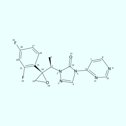 C[C@@H](n1ncn(-c2ccncn2)c1=O)[C@@]1(c2ccc(F)cc2F)CO1